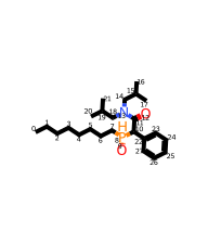 CCCCCCCC[PH](=O)C(C(=O)N(CC(C)C)CC(C)C)c1ccccc1